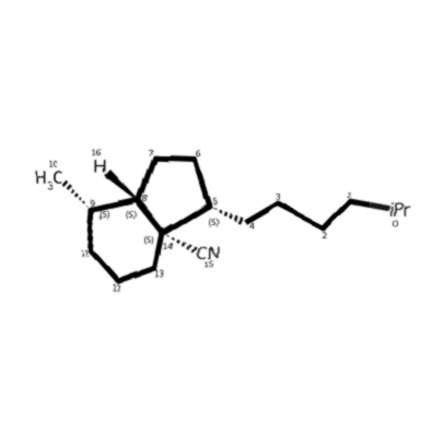 CC(C)CCCC[C@H]1CC[C@H]2[C@@H](C)CCC[C@]12C#N